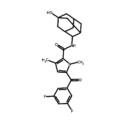 Cc1cc(C(=O)c2cc(F)cc(F)c2)n(C)c1C(=O)NC1C2CC3CC1CC(O)(C3)C2